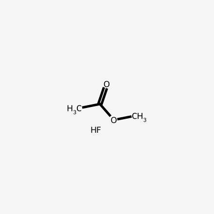 COC(C)=O.F